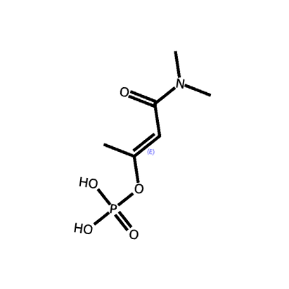 C/C(=C\C(=O)N(C)C)OP(=O)(O)O